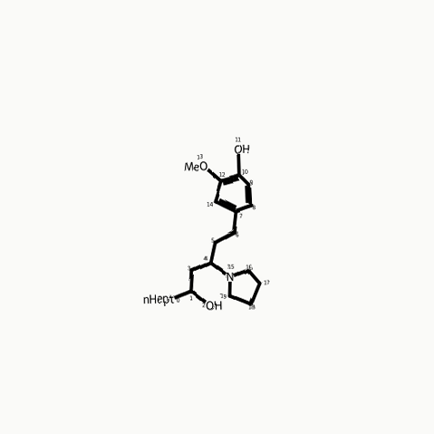 CCCCCCCC(O)CC(CCc1ccc(O)c(OC)c1)N1CCCC1